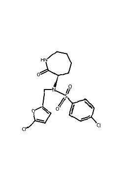 O=C1NCCCC[C@H]1N(Cc1ccc(Cl)o1)S(=O)(=O)c1ccc(Cl)cc1